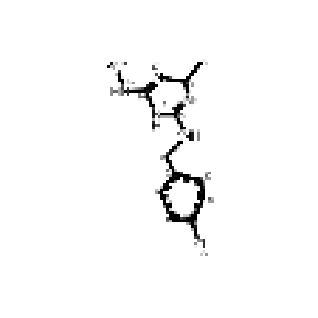 CC1N=C(NCc2ccc(Cl)cc2)NC(NC(C)C)=N1